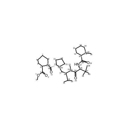 COC(=O)C1CCCCN1C(=O)[C@@H]1CCCN1C[C@H](C(C)C)N(C)C(=O)[C@@H](NC(=O)[C@H]1CCCCN1C)C(C)(C)C